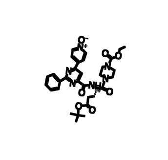 CCOC(=O)N1CCN(C(=O)[C@H](CCC(=O)OC(C)(C)C)NC(=O)c2cc(-c3cc[n+]([O-])cc3)nc(-c3ccccc3)n2)CC1